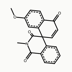 COc1ccc2c(c1)C1(C=CC2=O)C(=O)N(C)C(=O)c2ccccc21